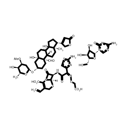 C=CC1=C(C(=O)O)N2C(=O)[C@@H](NC(=O)/C(=N\OCC(=O)O)c3csc(N)n3)[C@H]2SC1.CO[C@H]1C[C@H](O[C@H]2CC[C@]3(C=O)[C@H]4CC[C@]5(C)[C@@H](C6=CC(=O)OC6)CC[C@]5(O)[C@@H]4CC[C@]3(O)C2)O[C@H](C)[C@H]1O.Nc1ncn([C@@H]2O[C@H](CO)[C@@H](O)[C@H]2O)c(=O)n1